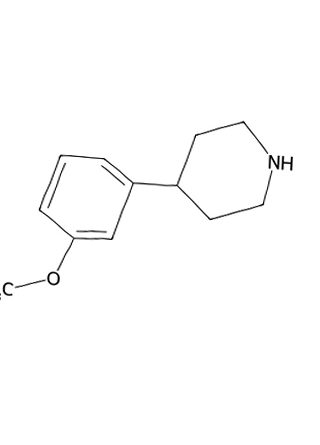 FC(F)(F)Oc1cccc(C2CCNCC2)c1